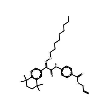 C=CCOC(=O)c1ccc(NC(=O)C(=NOCCCCCCCCC)c2ccc3c(c2)C(C)(C)CCC3(C)C)cc1